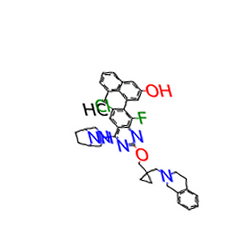 C#Cc1cccc2cc(O)cc(-c3c(Cl)cc4c(N5CC6CCC(C5)N6)nc(OCC5(CN6CCc7ccccc7C6)CC5)nc4c3F)c12